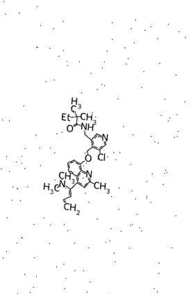 C=C/C=C(/c1cc(C)nc2c(OCc3c(Cl)cncc3CNC(=O)C(C)(C)CC)cccc12)N(C)C